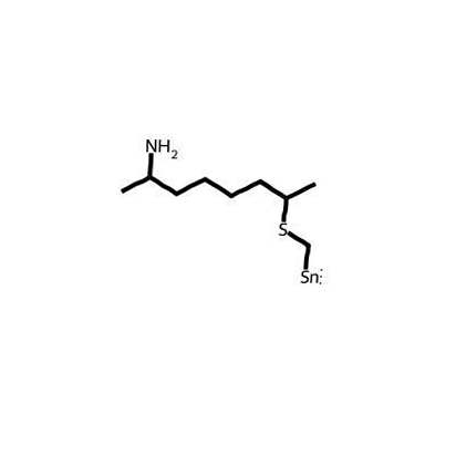 CC(N)CCCCC(C)S[CH2][Sn]